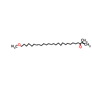 C=C(C)C(=O)CCCCCCCCCCCCCCCCCCCCCCCCOC